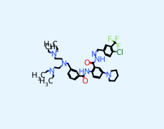 CCN(CC)CCN(CCN(CC)CC)Cc1cccc(C(=O)Nc2ccc(N3CCCCC3)cc2C(=O)N/N=C\c2ccc(Cl)c(C(F)(F)F)c2)c1